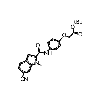 Cn1c(C(=O)Nc2ccc(OCC(=O)OC(C)(C)C)cc2)cc2ccc(C#N)cc21